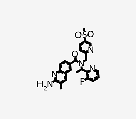 Cc1cc2cc(C(=O)N(Cc3ccc(S(C)(=O)=O)cn3)C(C)c3ncccc3F)ccc2nc1N